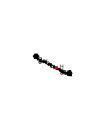 O=C(NCCCOCCOCCOCCCNC(=O)OCc1ccccc1)OCc1ccccc1